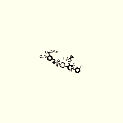 COC(=O)c1cc(CNS(=O)(=O)N2CCN(c3cnn(-c4cccc(Cl)c4)c(=O)c3OCC3(C)CC3)CC2)ccc1[N+](=O)[O-]